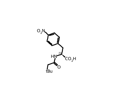 CC(C)(C)CC(=O)N[C@@H](Cc1ccc([N+](=O)[O-])cc1)C(=O)O